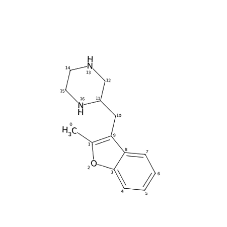 Cc1oc2ccccc2c1CC1CNCCN1